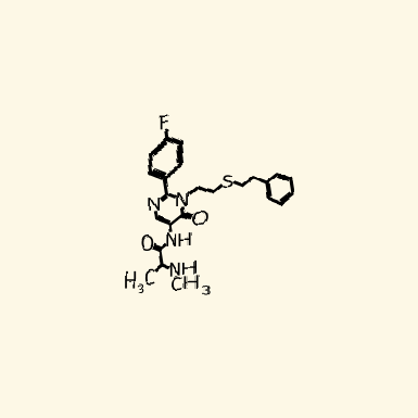 CNC(C)C(=O)Nc1cnc(-c2ccc(F)cc2)n(CCSCCc2ccccc2)c1=O